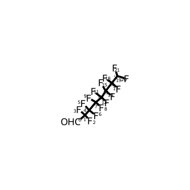 O=CC(F)(F)C(F)(F)C(F)(F)C(F)(F)C(F)(F)C(F)(F)[C](F)F